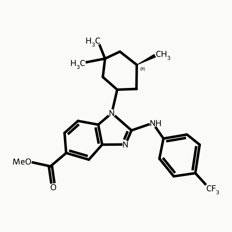 COC(=O)c1ccc2c(c1)nc(Nc1ccc(C(F)(F)F)cc1)n2C1C[C@H](C)CC(C)(C)C1